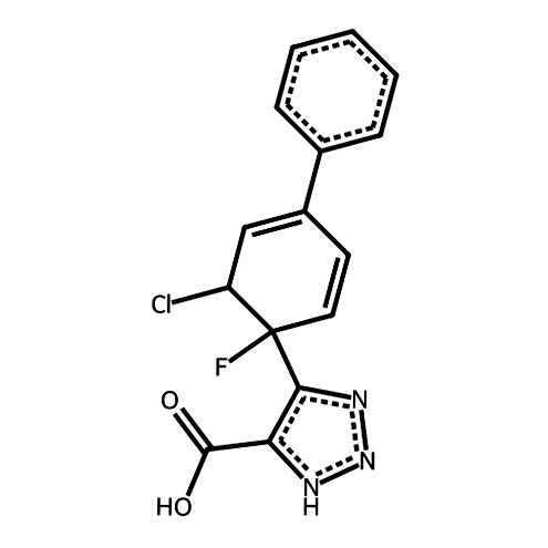 O=C(O)c1[nH]nnc1C1(F)C=CC(c2ccccc2)=CC1Cl